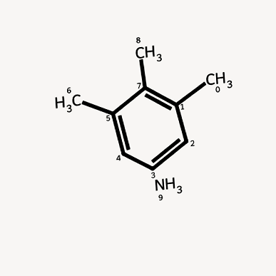 Cc1cccc(C)c1C.N